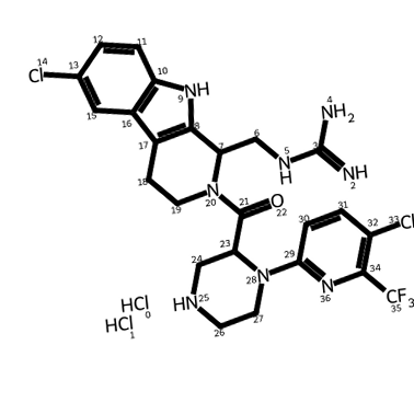 Cl.Cl.N=C(N)NCC1c2[nH]c3ccc(Cl)cc3c2CCN1C(=O)C1CNCCN1c1ccc(Cl)c(C(F)(F)F)n1